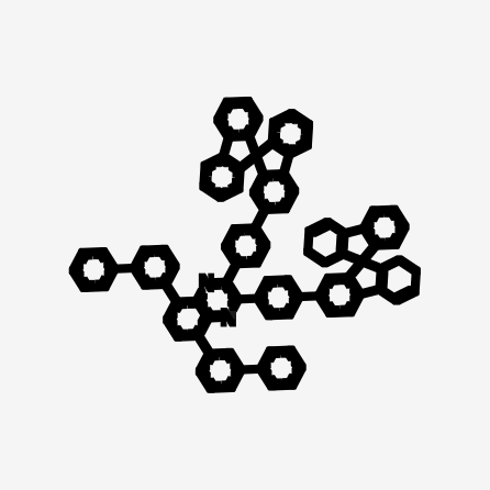 C1=CC2=C(CC1)C1(C3=C(C=CCC3)c3ccc(-c4ccc(-c5nc6c(-c7cccc(-c8ccccc8)c7)ccc(-c7cccc(-c8ccccc8)c7)c6nc5-c5ccc(-c6ccc7c(c6)C6(c8ccccc8-c8ccccc86)c6ccccc6-7)cc5)cc4)cc31)c1ccccc12